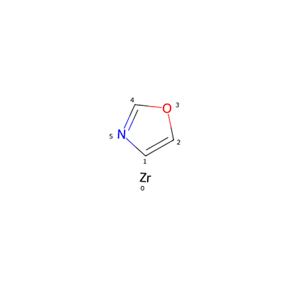 [Zr].c1cocn1